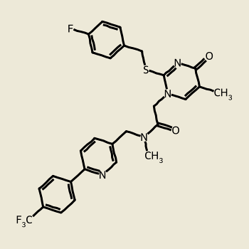 Cc1cn(CC(=O)N(C)Cc2ccc(-c3ccc(C(F)(F)F)cc3)nc2)c(SCc2ccc(F)cc2)nc1=O